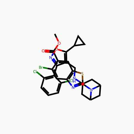 COC(=O)c1cc2sc(N3C4CC(NCc5c(-c6c(Cl)cccc6Cl)noc5C5CC5)CC3C4)nc2cc1Br